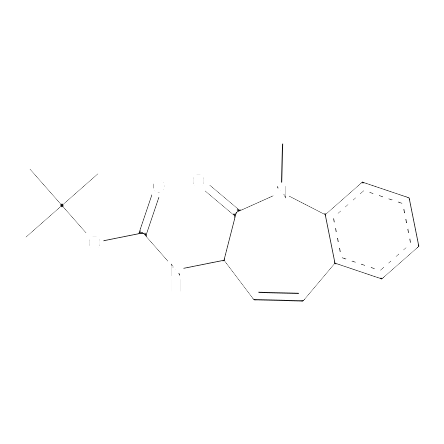 CN1C(=O)C(NC(=O)OC(C)(C)C)C=Cc2ccccc21